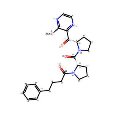 COc1nccnc1C(=O)[C@@H]1CCCN1C(=O)[C@@H]1CCCN1C(=O)CCCc1ccccc1